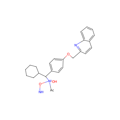 CC(=O)[N+](O)(O[NH])C(c1ccc(OCc2ccc3ccccc3n2)cc1)C1CCCCC1